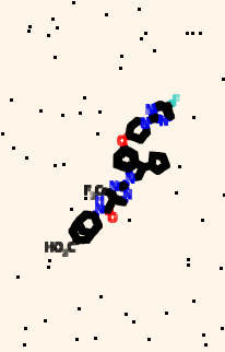 O=C(NC1CC2CC(C1)CC(C(=O)O)C2)c1cnc(N2CC(C3CCCC3)c3cc(OC4CCN(c5ncc(F)cn5)CC4)ccc32)nc1C(F)(F)F